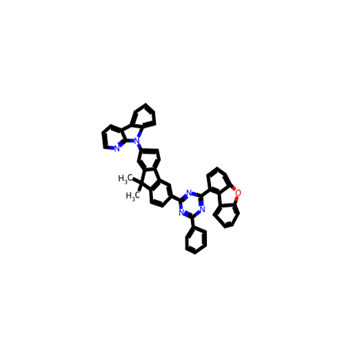 CC1(C)c2ccc(-c3nc(-c4ccccc4)nc(-c4cccc5oc6ccccc6c45)n3)cc2-c2ccc(-n3c4ccccc4c4cccnc43)cc21